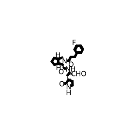 O=C[C@H](C[C@@H]1CCNC1=O)NC(=O)[C@H]1[C@@H]2CCC[C@H]2CN1C(=O)CCc1cccc(F)c1